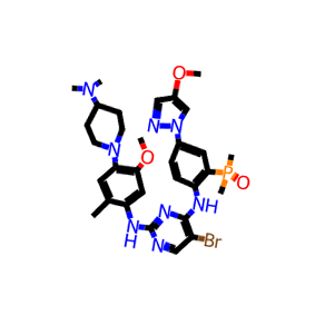 COc1cnn(-c2ccc(Nc3nc(Nc4cc(OC)c(N5CCC(N(C)C)CC5)cc4C)ncc3Br)c(P(C)(C)=O)c2)c1